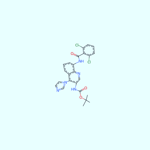 CC(C)(C)OC(=O)Nc1cnc2c(NC(=O)c3c(Cl)cccc3Cl)cccc2c1-n1ccnc1